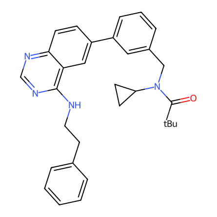 CC(C)(C)C(=O)N(Cc1cccc(-c2ccc3ncnc(NCCc4ccccc4)c3c2)c1)C1CC1